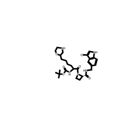 CC(C)(C)OC(=O)NC(CCCCC1CNCCO1)C(=O)N1CC[C@H]1C(=O)NCc1ccc2[nH]cc(Cl)c2c1